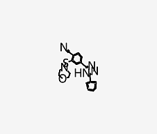 N#Cc1ccc(-c2nnc(-c3ccccc3)[nH]2)cc1SN1CCOCC1